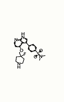 CN(C)S(=O)(=O)c1ccc(-c2c[nH]c3nccc(OCC4(F)CCNCC4)c23)cc1